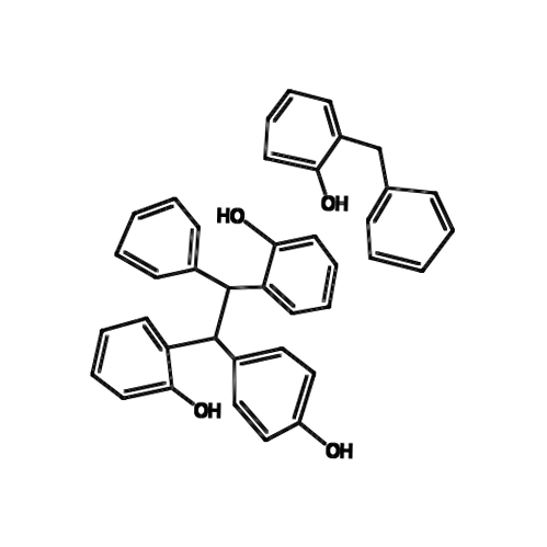 Oc1ccc(C(c2ccccc2O)C(c2ccccc2)c2ccccc2O)cc1.Oc1ccccc1Cc1ccccc1